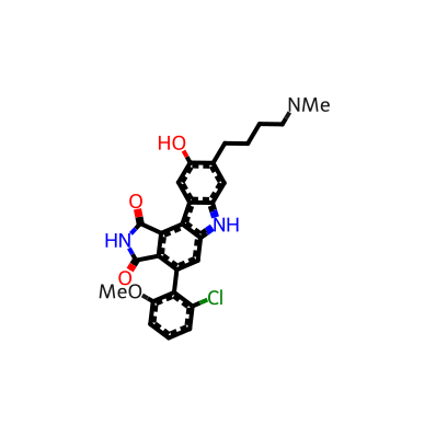 CNCCCCc1cc2[nH]c3cc(-c4c(Cl)cccc4OC)c4c(c3c2cc1O)C(=O)NC4=O